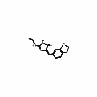 CCNC1=NC(=Cc2ccc3c(c2)OCO3)C(=O)N1